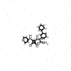 NC(=O)C(Nc1c(Nc2ccncc2)c(=O)c1=O)c1cccc(-c2ccccc2)c1